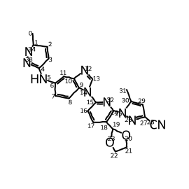 Cc1ccc(Nc2ccc3c(c2)ncn3-c2ccc(C3OCCO3)c(-n3nc(C#N)cc3C)n2)nn1